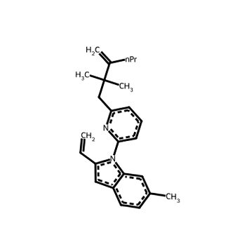 C=Cc1cc2ccc(C)cc2n1-c1cccc(CC(C)(C)C(=C)CCC)n1